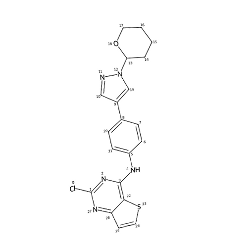 Clc1nc(Nc2ccc(-c3cnn(C4CCCCO4)c3)cc2)c2sccc2n1